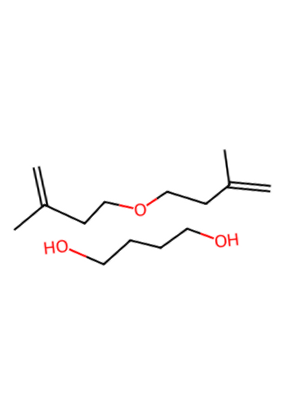 C=C(C)CCOCCC(=C)C.OCCCCO